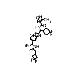 Cc1nonc1C(=O)N[C@H](c1cn2ncc(C(NC(=O)CC3CC(F)(F)C3)C(C)C)cc2n1)C1CCC(F)(F)CC1